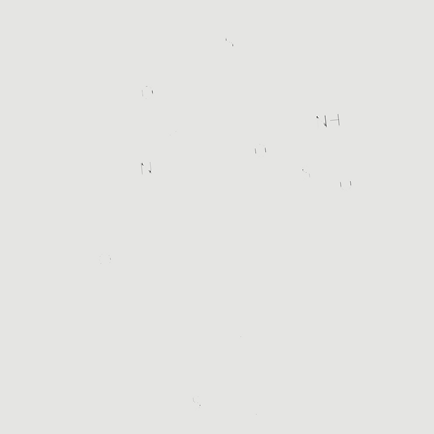 O=C(Cc1sccc1NS(=O)(=O)c1ccc(-c2ccsc2)cc1)N1CCOCC1